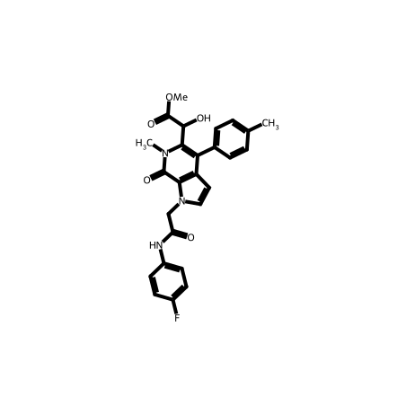 COC(=O)C(O)c1c(-c2ccc(C)cc2)c2ccn(CC(=O)Nc3ccc(F)cc3)c2c(=O)n1C